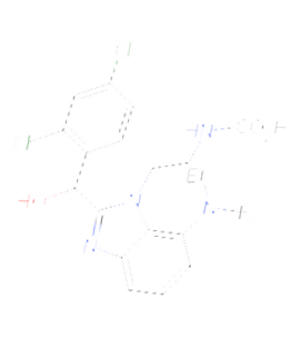 CCN(CC)c1cccc2nc(C(O)c3ccc(Cl)cc3Cl)n(CCNC(=O)O)c12